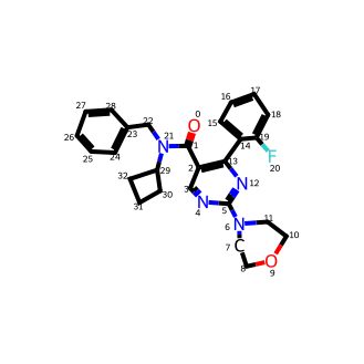 O=C(c1cnc(N2CCOCC2)nc1-c1ccccc1F)N(Cc1ccccc1)C1CCC1